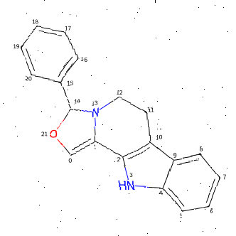 C1=C2c3[nH]c4ccccc4c3CCN2C(c2ccccc2)O1